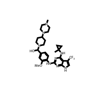 COc1cc(C(O)N2CCC(N3CCN(C)CC3)CC2)ccc1Nc1nc(NC2(C)CC2)c2c(C(F)(F)F)c[nH]c2n1